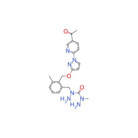 CC(=O)c1ccc(-n2ccc(OCc3c(C)cccc3CN(N)C(=O)N(C)N)n2)nc1